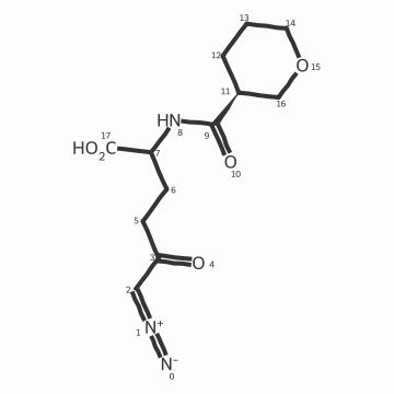 [N-]=[N+]=CC(=O)CCC(NC(=O)[C@H]1CCCOC1)C(=O)O